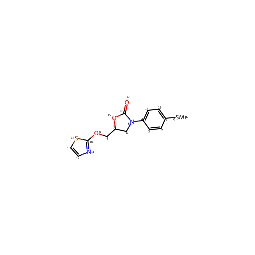 CSc1ccc(N2CC(COc3nccs3)OC2=O)cc1